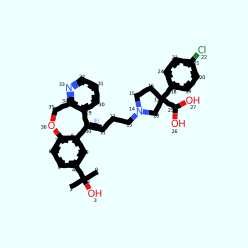 CC(C)(O)c1ccc2c(c1)/C(=C/CCN1CCC(c3ccc(Cl)cc3)(C(O)O)C1)c1cccnc1CO2